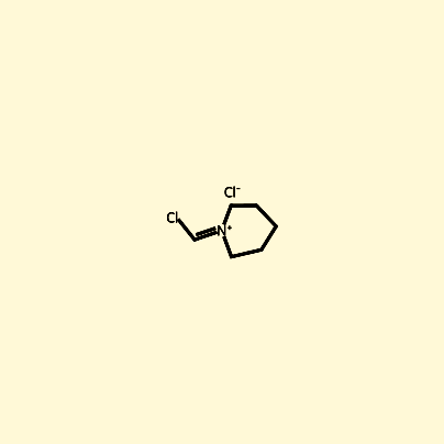 ClC=[N+]1CCCCC1.[Cl-]